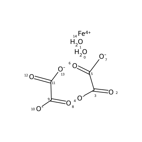 O.O.O=C([O-])C(=O)[O-].O=C([O-])C(=O)[O-].[Fe+4]